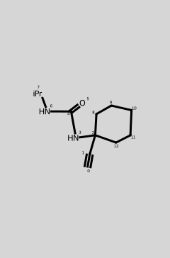 C#CC1(NC(=O)NC(C)C)CCCCC1